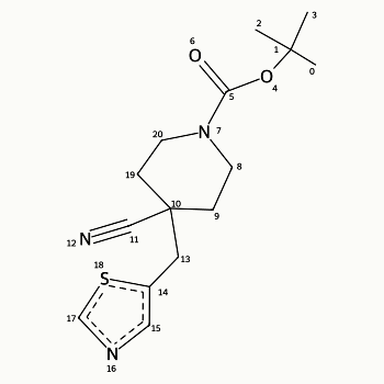 CC(C)(C)OC(=O)N1CCC(C#N)(Cc2cncs2)CC1